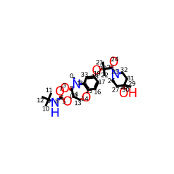 CN1C(=O)[C@@H](OC(=O)NC(C)(C)C)COc2ccc(OC(C)(C)C(=O)N3CCC(C)(O)CC3)cc21